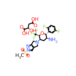 CS(=O)(=O)n1cc2c(n1)CN([C@@H]1C[C@H](N)[C@@H](c3cc(F)ccc3F)O[C@@H]1C(F)(F)F)C2.O=C(O)CC(O)C(=O)O